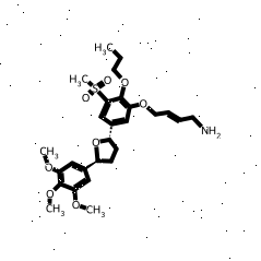 CCCOc1c(OCC=CCN)cc([C@@H]2CC[C@@H](c3cc(OC)c(OC)c(OC)c3)O2)cc1S(C)(=O)=O